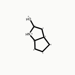 OC1CC2CCCC2N1